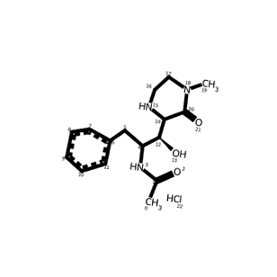 CC(=O)NC(Cc1ccccc1)[C@H](O)C1NCCN(C)C1=O.Cl